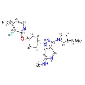 CCNc1cc2c(cn1)c(N1CC[C@@H](NC)C1)nn2[C@H]1CC[C@@H](Oc2nccc(C(F)(F)F)c2F)CC1